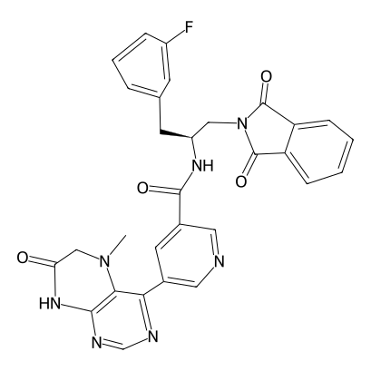 CN1CC(=O)Nc2ncnc(-c3cncc(C(=O)N[C@@H](Cc4cccc(F)c4)CN4C(=O)c5ccccc5C4=O)c3)c21